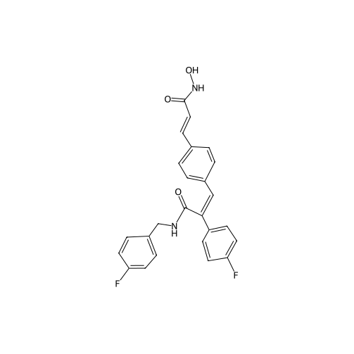 O=C(/C=C/c1ccc(C=C(C(=O)NCc2ccc(F)cc2)c2ccc(F)cc2)cc1)NO